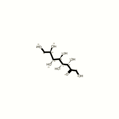 O=C(CO)[C@@H](O)[C@H](O)[C@H](O)[C@H](O)[C@H](O)CO